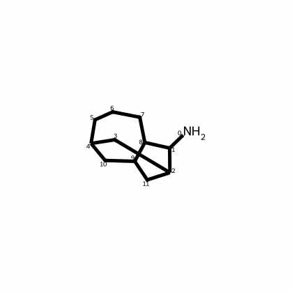 NC1C2CC3CCCC1C(C3)C2